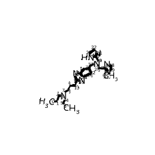 CCCN(CCC)CCCCc1cnc2cc(CN(Cc3ncc[nH]3)Cc3nccn3C)ccc2n1